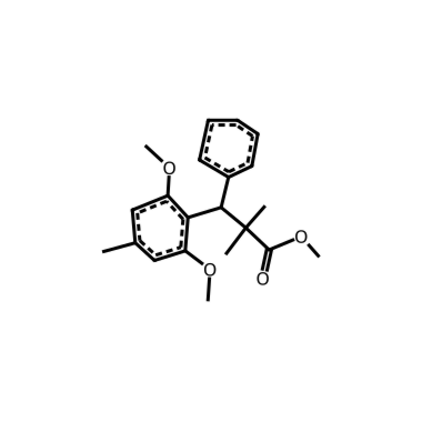 COC(=O)C(C)(C)C(c1ccccc1)c1c(OC)cc(C)cc1OC